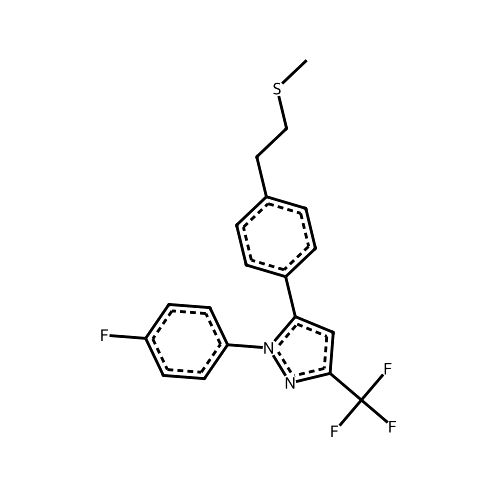 CSCCc1ccc(-c2cc(C(F)(F)F)nn2-c2ccc(F)cc2)cc1